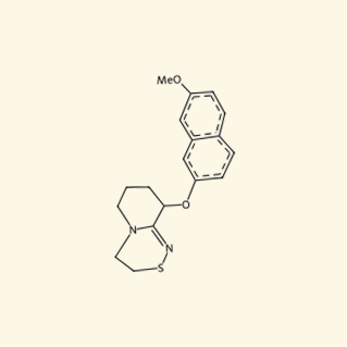 COc1ccc2ccc(OC3CCCN4CCSN=C34)cc2c1